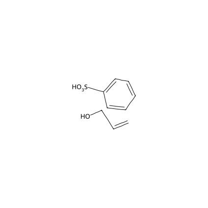 C=CCO.O=S(=O)(O)c1ccccc1